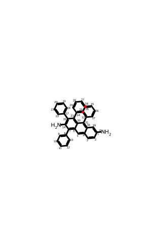 Nc1ccc2cc3c(-c4ccccc4)c(N)c(-c4ccccc4)c(-c4ccccc4)c3c(-c3ccccc3)c2c1